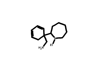 CCN1CCCCCC1C1(CN)C=CC=CC1